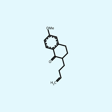 C=CCCC1CCc2cc(OC)ccc2C1=O